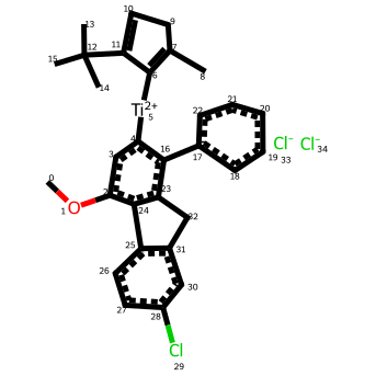 COc1c[c]([Ti+2][C]2=C(C)CC=C2C(C)(C)C)c(-c2ccccc2)c2c1-c1ccc(Cl)cc1C2.[Cl-].[Cl-]